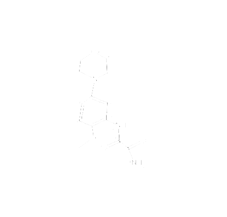 COc1ccc(N2CCOCC2)cc1NC(=S)C(N)=O